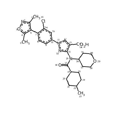 Cc1noc(C)c1-c1ccc(-n2cc(C(=O)O)c(N(C(=O)C3CCC(C)CC3)C3CCOCC3)n2)cc1Cl